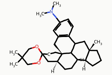 CN(C)c1ccc2c(c1)C[C@]13CCC4(C[C@@H]1CC[C@@H]1C3C2C[C@]2(C)CCC[C@@H]12)OCC(C)(C)CO4